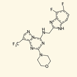 Fc1ccc2[nH]c(CNc3nc(N4CCOCC4)nc4c(C(F)(F)F)cnn34)nc2c1F